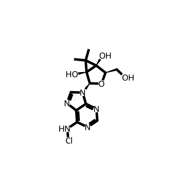 CC1(C)[C@]2(O)[C@@H](CO)O[C@@H](n3cnc4c(NCl)ncnc43)[C@]12O